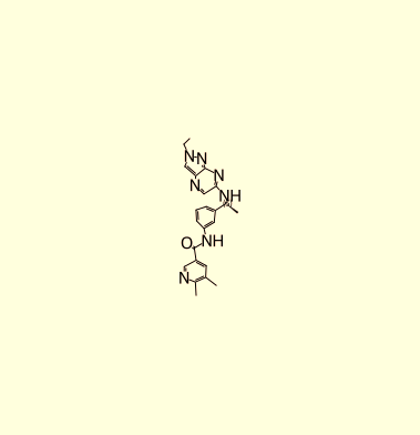 CCn1cc2ncc(N[C@@H](C)c3cccc(NC(=O)c4cnc(C)c(C)c4)c3)nc2n1